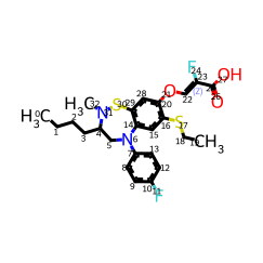 CCCCC1CN(c2ccc(F)cc2)c2cc(SCC)c(O/C=C(\F)C(=O)O)cc2SN1C